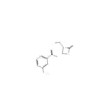 COc1cccc(C(=O)C[C@H]2NC(=O)[C@@H]2[C@@H](C)O)c1